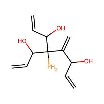 C=CC(O)C(=C)C(P)(C(O)C=C)C(O)C=C